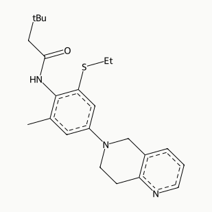 CCSc1cc(N2CCc3ncccc3C2)cc(C)c1NC(=O)CC(C)(C)C